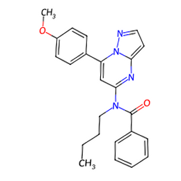 CCCCN(C(=O)c1ccccc1)c1cc(-c2ccc(OC)cc2)n2nccc2n1